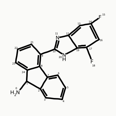 NC1c2ccccc2-c2c(-c3nc4cc(F)cc(F)c4[nH]3)cccc21